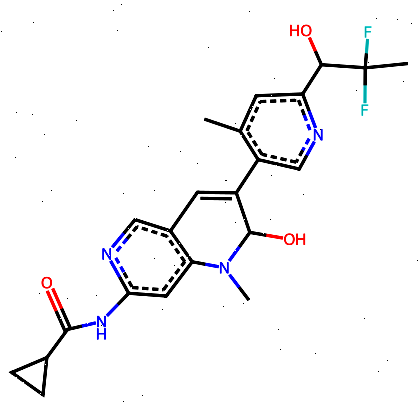 Cc1cc(C(O)C(C)(F)F)ncc1C1=Cc2cnc(NC(=O)C3CC3)cc2N(C)C1O